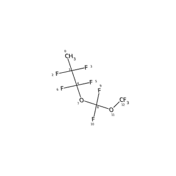 CC(F)(F)C(F)(F)OC(F)(F)OC(F)(F)F